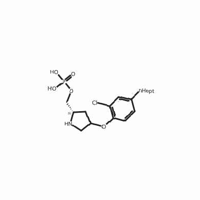 CCCCCCCc1ccc(OC2CN[C@H](COP(=O)(O)O)C2)c(Cl)c1